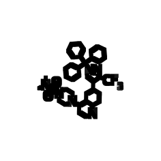 CN(C)S(=O)(=O)N1CCN(c2ccnc3ccc(-c4cn(C(c5ccccc5)(c5ccccc5)c5ccccc5)nc4C(F)(F)F)cc23)CC1